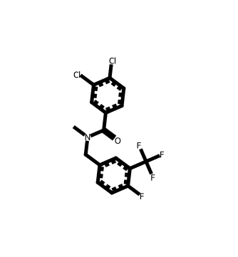 CN(Cc1ccc(F)c(C(F)(F)F)c1)C(=O)c1ccc(Cl)c(Cl)c1